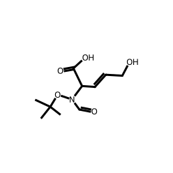 CC(C)(C)ON(C=O)C(C=CCO)C(=O)O